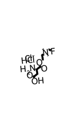 C[N+](C)(CF)CCOC(=O)[C@@H](N)CC(=O)O.Cl.[Cl-]